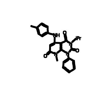 Cc1ccc(Nc2cc(=O)n(C)c3c2c(=O)n(C(C)C)c(=O)n3-c2ccccc2)cc1